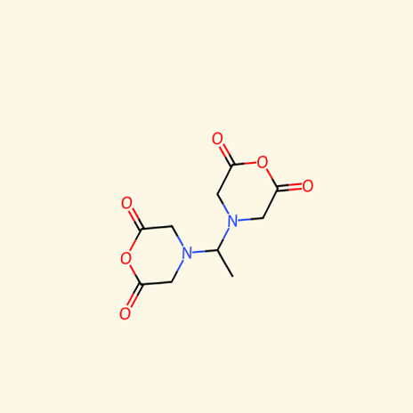 CC(N1CC(=O)OC(=O)C1)N1CC(=O)OC(=O)C1